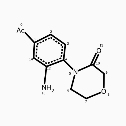 CC(=O)c1ccc(N2CCOCC2=O)c(N)c1